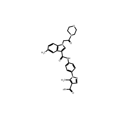 CCCC(=O)c1cnn(-c2ccc(NC(=O)c3cn(CC(=O)N4CCOCC4)c4ccc(C)cc34)cc2)c1C